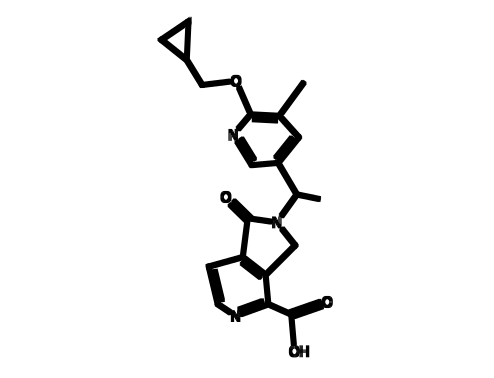 Cc1cc(C(C)N2Cc3c(ccnc3C(=O)O)C2=O)cnc1OCC1CC1